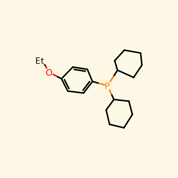 CCOc1ccc(P(C2CCCCC2)C2CCCCC2)cc1